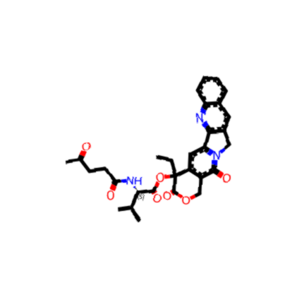 CCC1(OC(=O)[C@@H](NC(=O)CCC(C)=O)C(C)C)C(=O)OCc2c1cc1n(c2=O)Cc2cc3ccccc3nc2-1